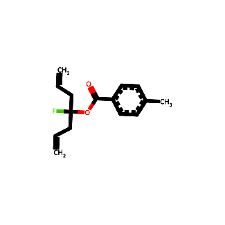 C=CCC(F)(CC=C)OC(=O)c1ccc(C)cc1